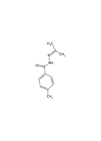 CC(C)=NNC(=O)c1ccc(C)cc1